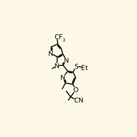 CCSc1cc(OC(C)(C)C#N)c(C)nc1-c1nc2cc(C(F)(F)F)cnc2n1C